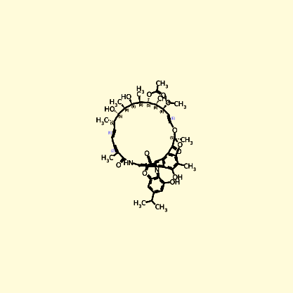 CO[C@H]1/C=C/O[C@@]2(C)Oc3c(C)c(O)c4c(=O)c(c5oc6cc(C(C)C)cc(O)c6nc-5c4c3C2=O)NC(=O)/C(C)=C\C=C\[C@H](C)[C@H](O)[C@@H](C)[C@@H](O)[C@@H](C)[C@H](OC(C)=O)[C@@H]1C